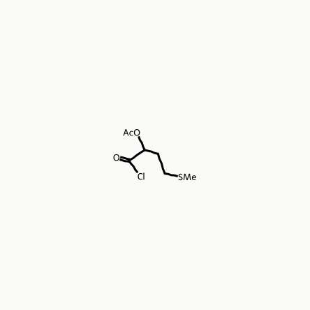 CSCCC(OC(C)=O)C(=O)Cl